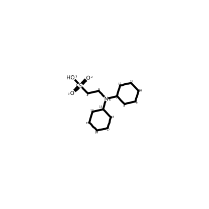 O=S(=O)(O)CCN(C1CCCCC1)C1CCCCC1